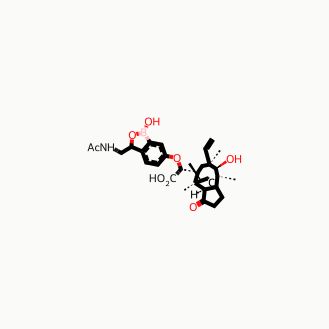 C=C[C@]1(C)C[C@@H](C(Oc2ccc3c(c2)B(O)OC3CNC(C)=O)C(=O)O)[C@@]2(C)[C@H](C)CC[C@]3(CCC(=O)[C@H]32)[C@@H](C)[C@@H]1O